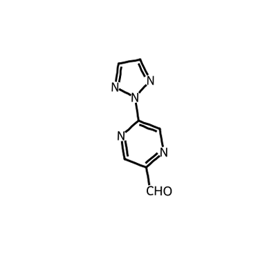 O=Cc1cnc(-n2nccn2)cn1